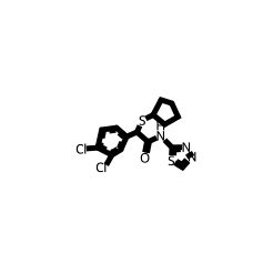 O=C(Nc1nncs1)C(SC1CCCC1)c1ccc(Cl)c(Cl)c1